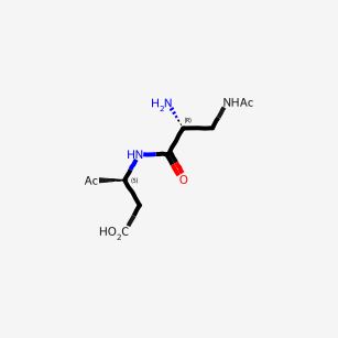 CC(=O)NC[C@@H](N)C(=O)N[C@@H](CC(=O)O)C(C)=O